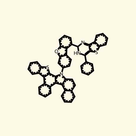 c1ccc(C2=c3sc4ccccc4c3=NC(c3cccc4oc5cc(-n6c7ccc8ccccc8c7c7c8ccccc8c8c9ccccc9sc8c76)ccc5c34)N2)cc1